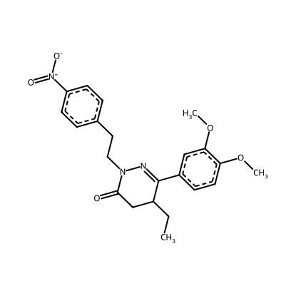 CCC1CC(=O)N(CCc2ccc([N+](=O)[O-])cc2)N=C1c1ccc(OC)c(OC)c1